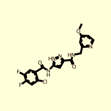 COc1ccnc(CNC(=O)c2cc(NC(=O)c3cc(F)c(F)cc3Cl)[nH]n2)c1